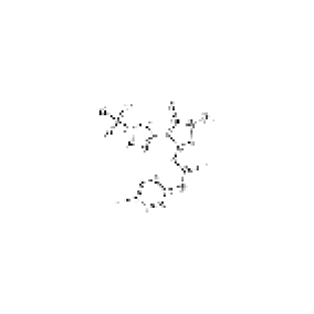 CCS(=O)(=O)c1nnc(N2C(=O)N(C)CC2OC(=O)Nc2ccc(F)cc2)s1